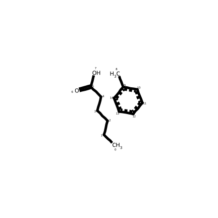 CCCCCC(=O)O.Cc1ccccc1